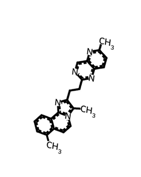 Cc1ccc2nc(CCc3nc4c5cccc(C)c5ccn4c3C)ncc2n1